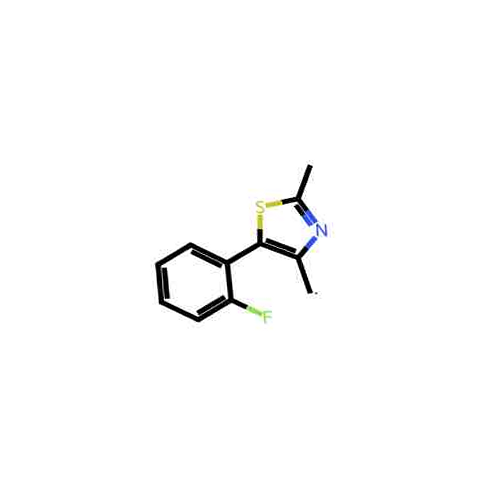 [CH2]c1nc(C)sc1-c1ccccc1F